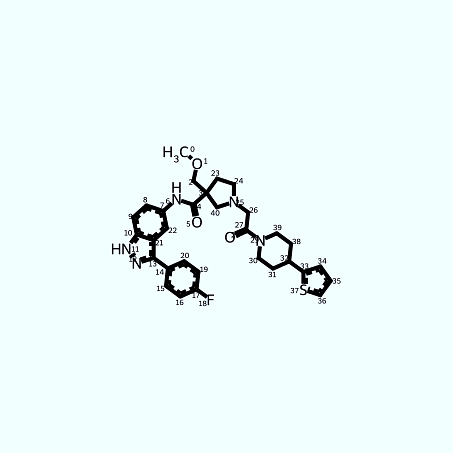 COCC1(C(=O)Nc2ccc3[nH]nc(-c4ccc(F)cc4)c3c2)CCN(CC(=O)N2CCC(c3cccs3)CC2)C1